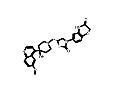 COc1ccc2nccc(C3(O)CCN(C[C@@H]4CN(c5ccc6c(c5)NC(=O)CS6)C(=O)O4)CC3)c2c1